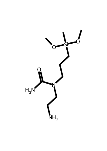 CO[Si](C)(CCCN(CCN)C(N)=O)OC